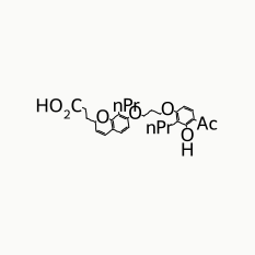 CCCc1c(OCCCOc2ccc3c(c2CCC)OC(CCC(=O)O)C=C3)ccc(C(C)=O)c1O